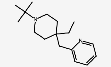 CCC1(Cc2ccccn2)CCN(C(C)(C)C)CC1